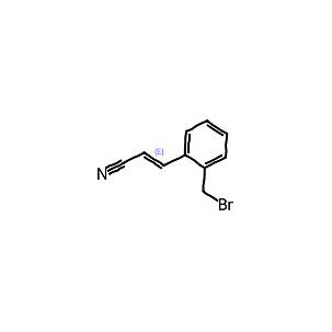 N#C/C=C/c1ccccc1CBr